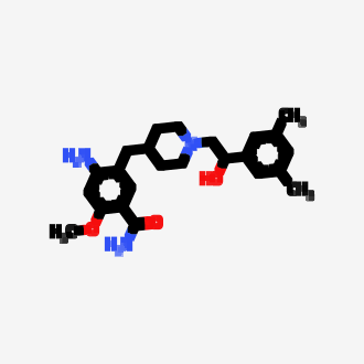 COc1cc(N)c(CC2CCN(CC(O)c3cc(C)cc(C)c3)CC2)cc1C(N)=O